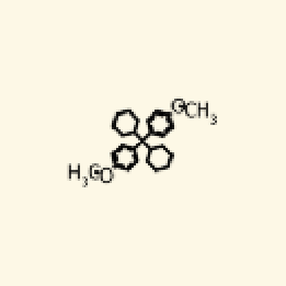 COc1ccc(C(c2ccc(OC)cc2)(C2CCCCC2)C2CCCCC2)cc1